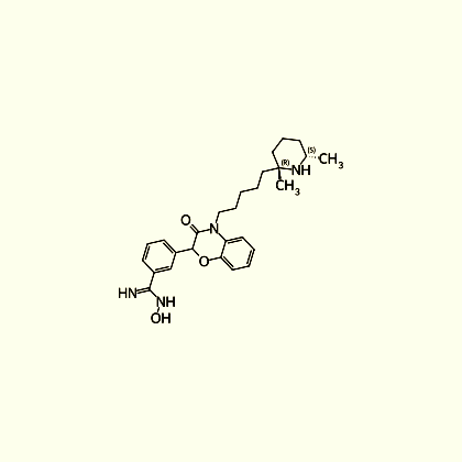 C[C@H]1CCC[C@@](C)(CCCCCN2C(=O)C(c3cccc(C(=N)NO)c3)Oc3ccccc32)N1